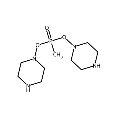 CP(=O)(ON1CCNCC1)ON1CCNCC1